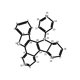 c1ccc2c(c1)oc1c3cnccc3c3c4ncccc4n(-c4ccncc4)c3c21